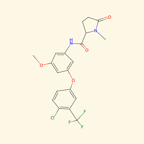 COc1cc(NC(=O)C2CCC(=O)N2C)cc(Oc2ccc(Cl)c(C(F)(F)F)c2)c1